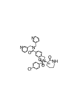 O=C1NCCCC[C@H]1N(Cc1ccc(C(=O)N(Cc2cccnc2)Cc2cccnc2)cc1)S(=O)(=O)c1ccc(Cl)cc1